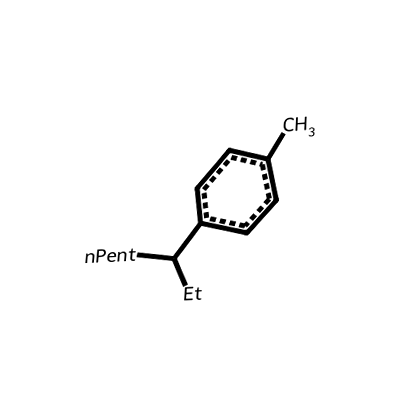 CCCCCC(CC)c1ccc(C)cc1